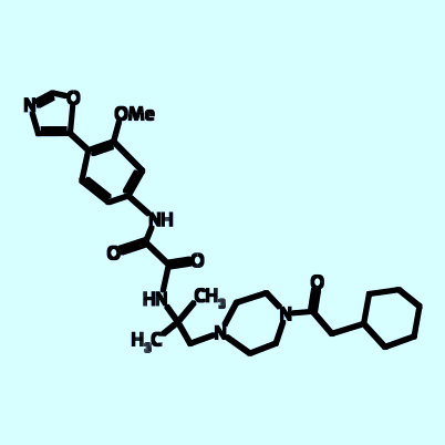 COc1cc(NC(=O)C(=O)NC(C)(C)CN2CCN(C(=O)CC3CCCCC3)CC2)ccc1-c1cnco1